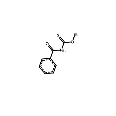 CCOC(=S)NC(=O)c1ccccc1